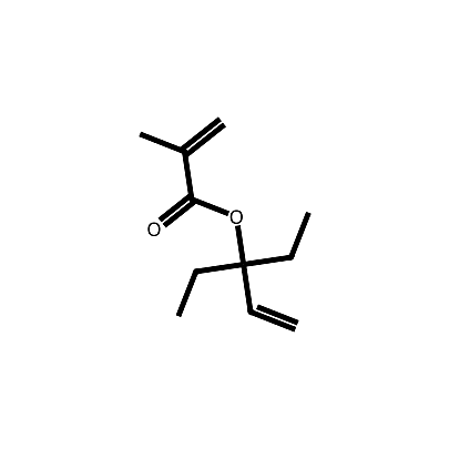 C=CC(CC)(CC)OC(=O)C(=C)C